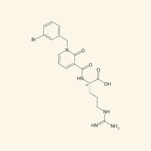 N=C(N)NCCC[C@H](NC(=O)c1cccn(Cc2cccc(Br)c2)c1=O)C(=O)O